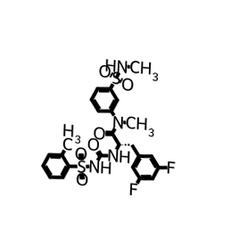 CNS(=O)(=O)c1cccc(N(C)C(=O)[C@H](Cc2cc(F)cc(F)c2)NC(=O)NS(=O)(=O)c2ccccc2C)c1